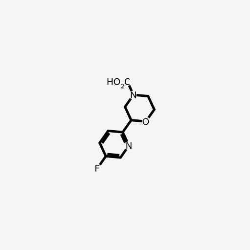 O=C(O)N1CCOC(c2ccc(F)cn2)C1